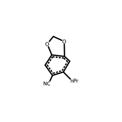 CCCc1cc2c(cc1C#N)OCO2